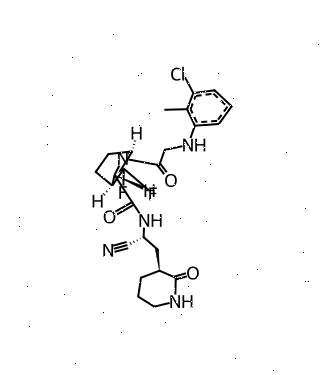 Cc1c(Cl)cccc1NCC(=O)N1[C@@H]2CC[C@H]([C@H]1C(=O)N[C@@H](C#N)C[C@@H]1CCCNC1=O)C(F)(F)C2